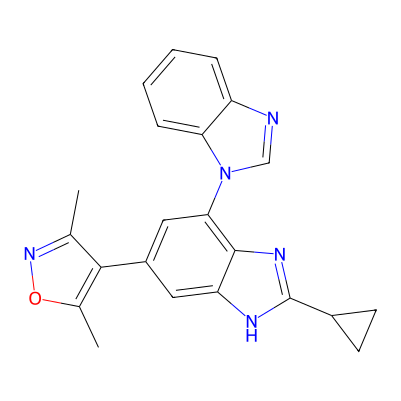 Cc1noc(C)c1-c1cc(-n2cnc3ccccc32)c2nc(C3CC3)[nH]c2c1